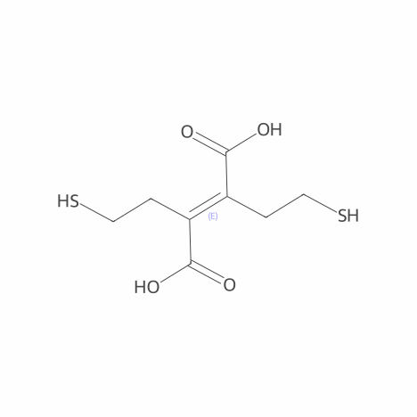 O=C(O)/C(CCS)=C(\CCS)C(=O)O